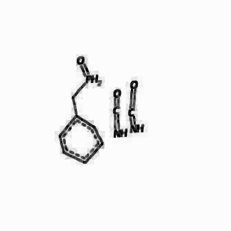 N=C=O.N=C=O.O=[PH2]Cc1ccccc1